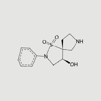 O=S1(=O)N(c2ccccc2)C[C@H](O)[C@]12CCNC2